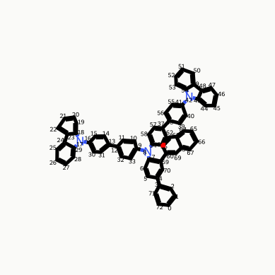 c1ccc(-c2ccc(N(c3ccc(-c4ccc(-n5c6ccccc6c6ccccc65)cc4)cc3)c3ccc(-c4ccc(-n5c6ccccc6c6ccccc65)cc4)cc3)c(-c3ccc4ccccc4c3)c2)cc1